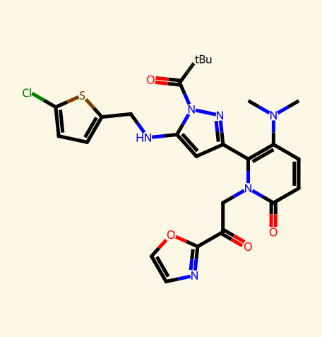 CN(C)c1ccc(=O)n(CC(=O)c2ncco2)c1-c1cc(NCc2ccc(Cl)s2)n(C(=O)C(C)(C)C)n1